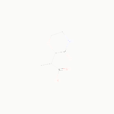 CC(C(=O)O)C1OCCNC1=O